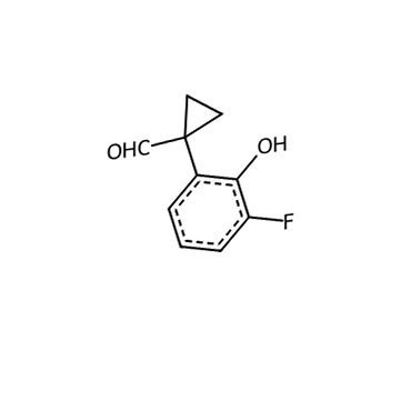 O=CC1(c2cccc(F)c2O)CC1